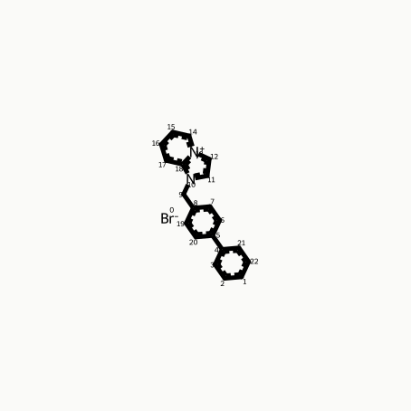 [Br-].c1ccc(-c2ccc(Cn3cc[n+]4ccccc34)cc2)cc1